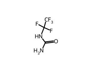 NC(=O)NC(F)(F)C(F)(F)F